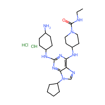 CCNC(=O)N1CCC(Nc2nc(NC3CCC(N)CC3)nc3c2ncn3C2CCCC2)CC1.Cl.Cl